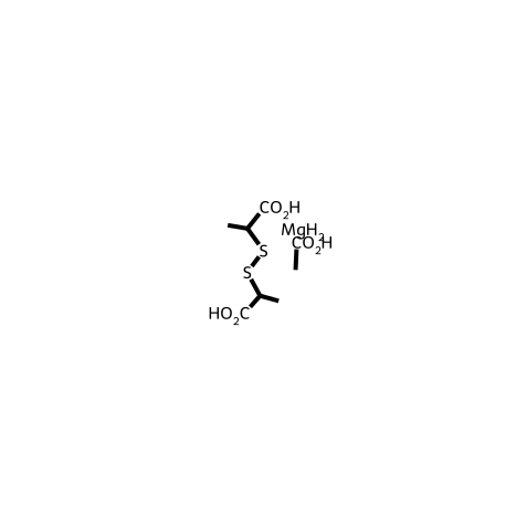 CC(=O)O.CC(SSC(C)C(=O)O)C(=O)O.[MgH2]